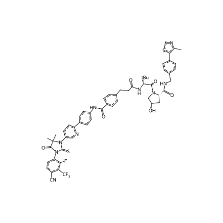 Cc1ncsc1-c1ccc(CNC(=O)[C@@H]2C[C@@H](O)CN2C(=O)[C@@H](NC(=O)CCc2ccc(C(=O)Nc3ccc(-c4ccc(N5C(=S)N(c6ccc(C#N)c(C(F)(F)F)c6F)C(=O)C5(C)C)cn4)cc3)cc2)C(C)(C)C)cc1